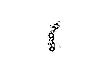 COc1ncc(CNc2ccc3oc(C(=O)Nc4ccccc4N)cc3c2)c(OC)n1